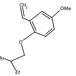 C=Cc1cc(OC)ccc1OCC(CC)CCCC